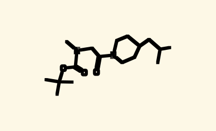 CC(C)CC1CCN(C(=O)CN(C)C(=O)OC(C)(C)C)CC1